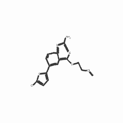 COCCOc1nc(N)nc2ccc(-c3ccc(Cl)s3)cc12